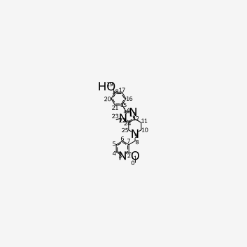 COc1ncccc1CN1CCc2nc(-c3ccc(O)cc3)n(C)c2C1